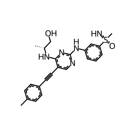 Cc1ccc(C#Cc2cnc(Nc3cccc(S(C)(=N)=O)c3)nc2N[C@H](C)CO)cc1